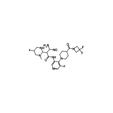 CN1CC(F)CNC1C(C(=O)Nc1cncc(F)c1N1CCC(C(=O)N2CC(F)(F)C2)CC1)C(N)N=O